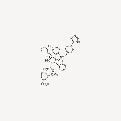 COc1cc(C(=O)O)ccc1NC(=O)[C@@H]1NC(CC2(C)CCCC2)[C@@]2(CN(Cc3ccc(-c4nnn[nH]4)cc3)c3ccc(Cl)cc32)[C@H]1c1ccccc1Cl